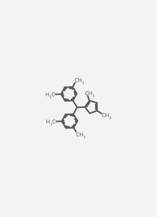 CC1=CC(C)=C(C(c2cc(C)cc(C)c2)c2cc(C)cc(C)c2)C1